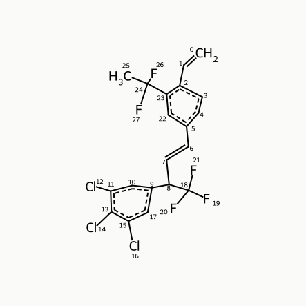 C=Cc1ccc(/C=C/C(c2cc(Cl)c(Cl)c(Cl)c2)C(F)(F)F)cc1C(C)(F)F